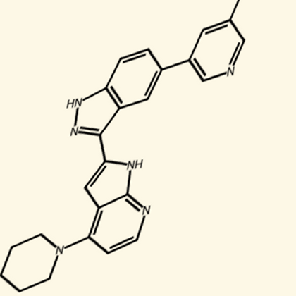 Oc1cncc(-c2ccc3[nH]nc(-c4cc5c(N6CCCCC6)ccnc5[nH]4)c3c2)c1